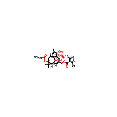 CCCCCCCCCC(=O)O[C@@]12C[C@@H](C)[C@]34C=C(C)[C@H](O)[C@@]3(O)[C@H](O)C(COC(=O)c3c(CC)noc3CC)=C[C@H](C4O)[C@@H]1C2(C)C